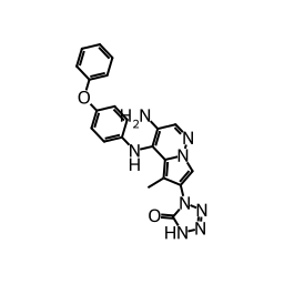 Cc1c(-n2nn[nH]c2=O)cn2ncc(N)c(Nc3ccc(Oc4ccccc4)cc3)c12